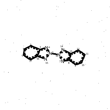 c1ccc2nn(-n3nc4ccccc4n3)nc2c1